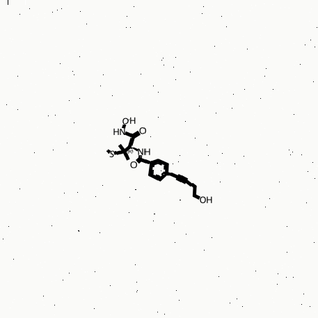 CSC(C)(C)[C@H](NC(=O)c1ccc(C#CCCO)cc1)C(=O)NO